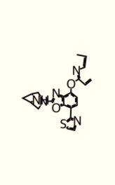 C=C/C(=N\C=C/C)Oc1ccc(-c2nccs2)c2oc(N3CC4CC(C3)N4)nc12